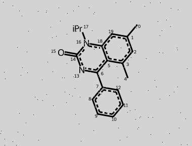 Cc1cc(C)c2c(-c3ccccc3)nc(=O)n(C(C)C)c2c1